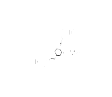 COc1cc(/C=C/C(=O)O)ccc1OCCCC=O